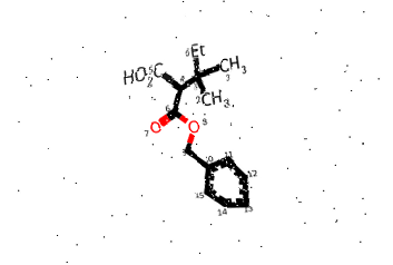 CCC(C)(C)C(C(=O)O)C(=O)OCc1ccccc1